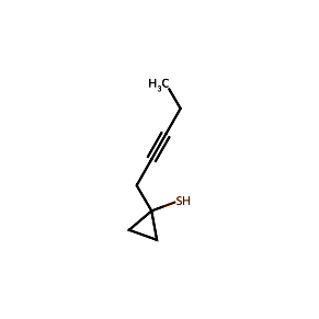 CCC#CCC1(S)CC1